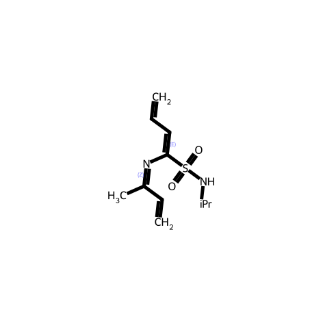 C=C/C=C(\N=C(\C)C=C)S(=O)(=O)NC(C)C